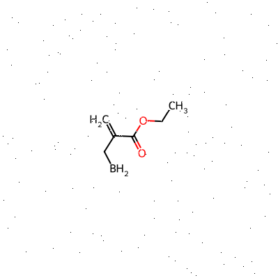 BCC(=C)C(=O)OCC